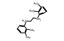 CC(=O)Oc1cccc([SiH2]CC[SiH2]c2cccc(OC(C)=O)c2OC(C)=O)c1OC(C)=O